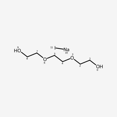 OCCOCCOCCO.[Na][I]